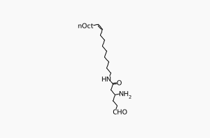 CCCCCCCC/C=C\CCCCCCCCNC(=O)CC(N)CCC=O